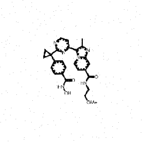 COCCNC(=O)c1ccn2c(-c3ccnc(C4(c5ccc(C(=O)NO)cc5)CC4)n3)c(C)nc2c1